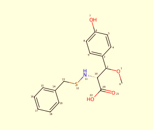 COC(c1ccc(O)cc1)[C@@H](NSCc1ccccc1)C(=O)O